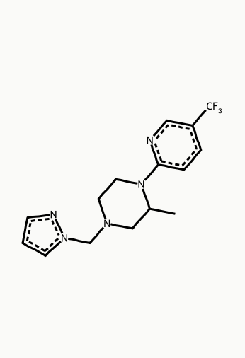 CC1CN(Cn2cccn2)CCN1c1ccc(C(F)(F)F)cn1